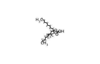 CCCCCCCCC(CC)(CCCCCCCC)OC(=O)O